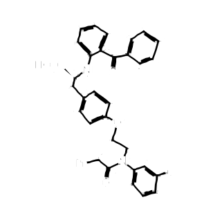 Cc1cccc(N(CCOc2ccc(C[C@H](Nc3ccccc3C(=O)c3ccccc3)C(=O)O)cc2)C(=O)CC(C)C)c1